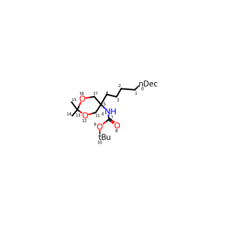 CCCCCCCCCCCCCCC1(NC(=O)OC(C)(C)C)COC(C)(C)OC1